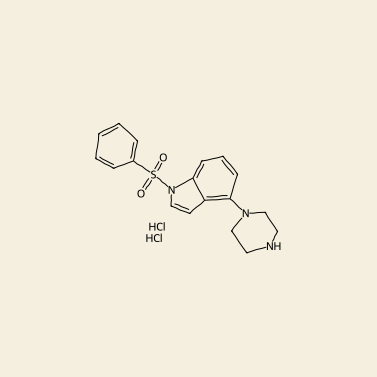 Cl.Cl.O=S(=O)(c1ccccc1)n1ccc2c(N3CCNCC3)cccc21